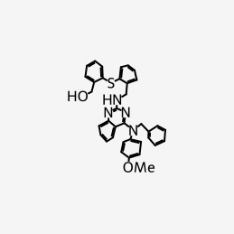 COc1ccc(N(Cc2ccccc2)c2nc(NCc3ccccc3Sc3ccccc3CO)nc3ccccc23)cc1